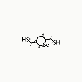 SCC1CCC(CS)[Se]C1